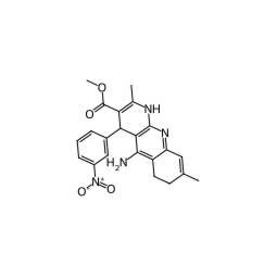 COC(=O)C1=C(C)Nc2nc3c(c(N)c2C1c1cccc([N+](=O)[O-])c1)CCC(C)=C3